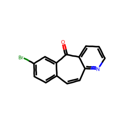 O=c1c2cc(Br)ccc2ccc2ncccc12